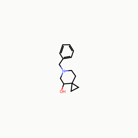 OC1CN(Cc2ccccc2)CCC12CC2